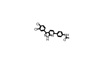 CC(=O)Nc1ccc(-c2ccc3c(-c4ccc(Cl)c(Cl)c4)n[nH]c3n2)cc1